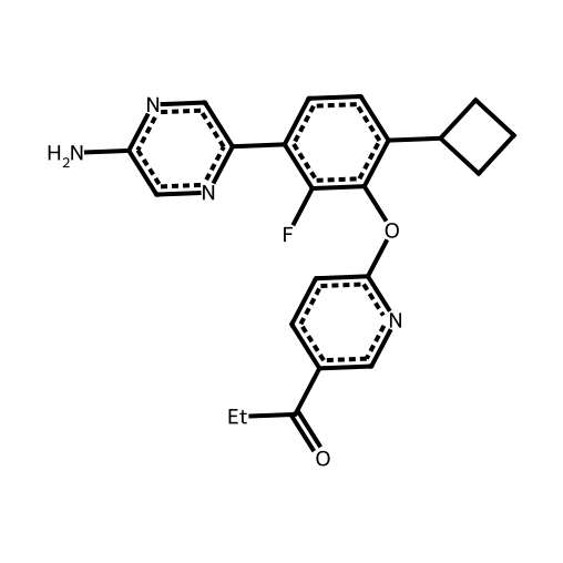 CCC(=O)c1ccc(Oc2c(C3CCC3)ccc(-c3cnc(N)cn3)c2F)nc1